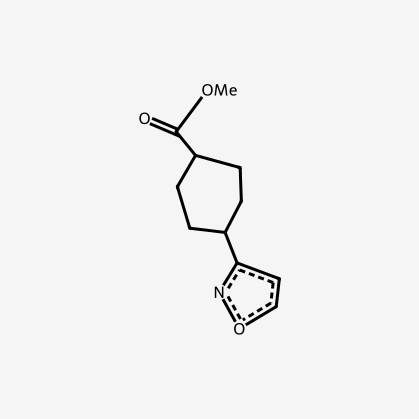 COC(=O)C1CCC(c2ccon2)CC1